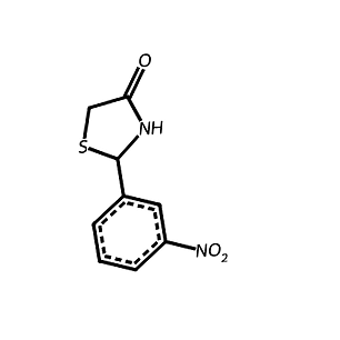 O=C1CSC(c2cccc([N+](=O)[O-])c2)N1